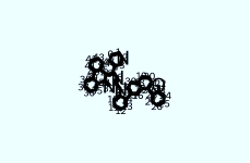 c1cncc(-c2nc(-n3c4ccccc4c4cc5c(ccc6oc7ccccc7c65)cc43)nc3c4ccccc4c4ccccc4c23)c1